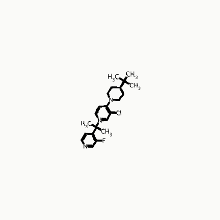 CC(C)(C)C1CCN(c2cc[n+](C(C)(C)c3ccncc3F)cc2Cl)CC1